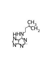 C=C(C)CCNc1n[c]nc2nc[nH]c12